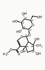 COC(=O)C1=CO[C@@H](O[C@@H]2O[C@H](CO)[C@@H](O)[C@H](O)[C@H]2O)C2[C@]1(O)C[C@@H](O)[C@]2(C)O